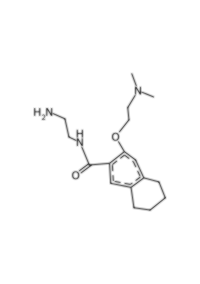 CN(C)CCOc1cc2c(cc1C(=O)NCCN)CCCC2